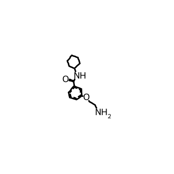 NCCOc1cccc(C(=O)NC2CCCCC2)c1